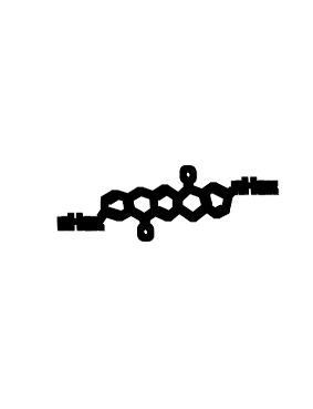 CCCCCCc1ccc2c(c1)C(=O)c1cc3c(cc1C2)C(=O)c1cc(CCCCCC)ccc1C3